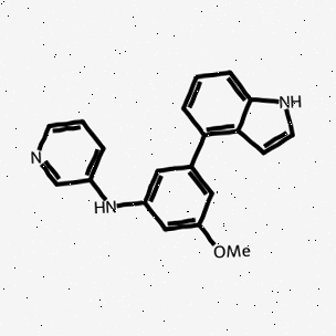 COc1cc(Nc2cccnc2)cc(-c2cccc3[nH]ccc23)c1